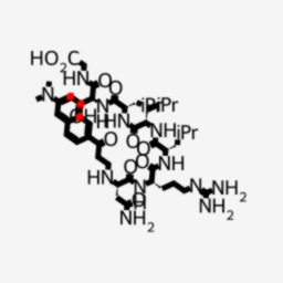 CC(C)C[C@H](NC(=O)[C@H](CCCN=C(N)N)NC(=O)[C@H](CC(N)=O)NCCC(=O)c1ccc2cc(N(C)C)ccc2c1)C(=O)N[C@@H](CC(C)C)C(=O)N[C@@H](CC(C)C)C(=O)N[C@H](C(=O)NCC(=O)O)[C@@H](C)O